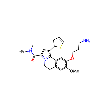 COc1cc2c(cc1OCCCN)-c1c(C3CC=CS3)cc(C(=O)N(C)C(C)(C)C)n1CC2